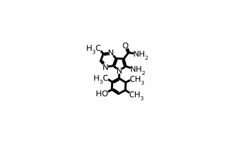 CC1=C(n2c(N)c(C(N)=O)c3nc(C)cnc32)C(C)C(C)C=C1O